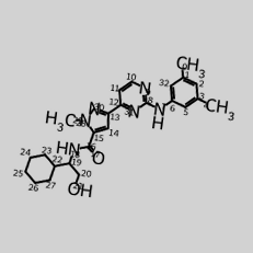 Cc1cc(C)cc(Nc2nccc(-c3cc(C(=O)NC(CO)C4CCCCC4)n(C)n3)n2)c1